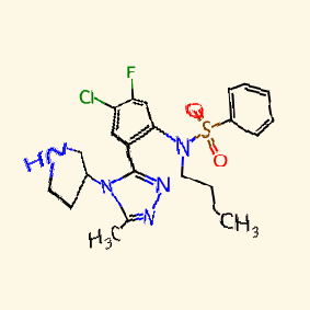 CCCCN(c1cc(F)c(Cl)cc1-c1nnc(C)n1C1CCNC1)S(=O)(=O)c1ccccc1